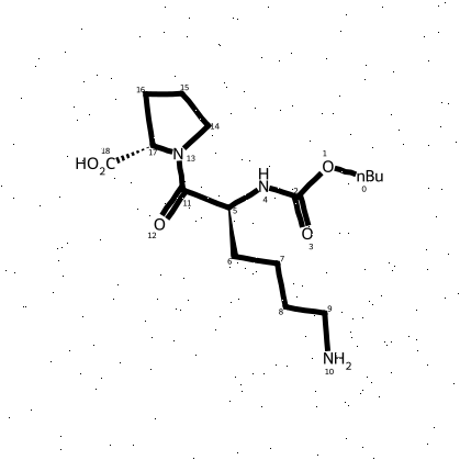 CCCCOC(=O)N[C@@H](CCCCN)C(=O)N1CCC[C@H]1C(=O)O